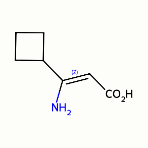 N/C(=C\C(=O)O)C1CCC1